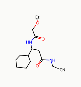 CCOCC(=O)NC(CC(=O)NCC#N)C1CCCCC1